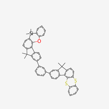 CC1(C)c2cc(-c3cccc(-c4ccc5c(c4)C(C)(C)c4ccc6c(c4-5)Sc4ccccc4S6)c3)ccc2-c2c1ccc1c2Oc2ccccc2[Si]1(C)C